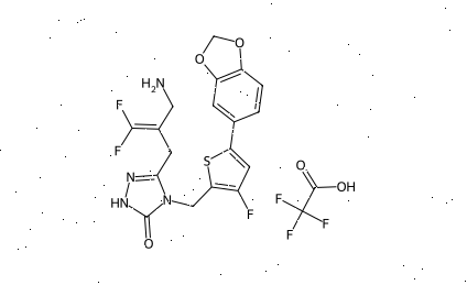 NCC(Cc1n[nH]c(=O)n1Cc1sc(-c2ccc3c(c2)OCO3)cc1F)=C(F)F.O=C(O)C(F)(F)F